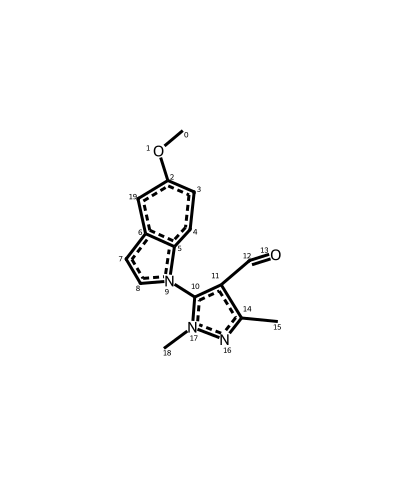 COc1ccc2c(ccn2-c2c(C=O)c(C)nn2C)c1